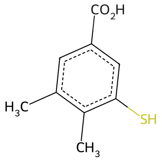 Cc1cc(C(=O)O)cc(S)c1C